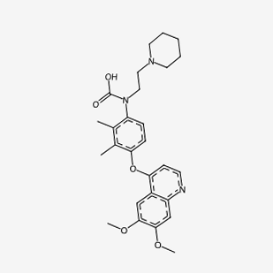 COc1cc2nccc(Oc3ccc(N(CCN4CCCCC4)C(=O)O)c(C)c3C)c2cc1OC